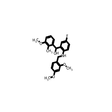 COc1ccc(CNc2ccc(F)cc2C(O)c2cccc(OC)c2C)c(OC)c1